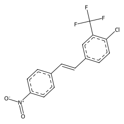 O=[N+]([O-])c1ccc(/C=C/c2ccc(Cl)c(C(F)(F)F)c2)cc1